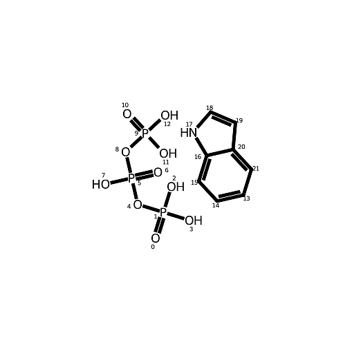 O=P(O)(O)OP(=O)(O)OP(=O)(O)O.c1ccc2[nH]ccc2c1